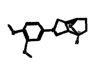 COc1ccc(N2CC3=C4CC[C@H](O4)C3C2)cc1OC